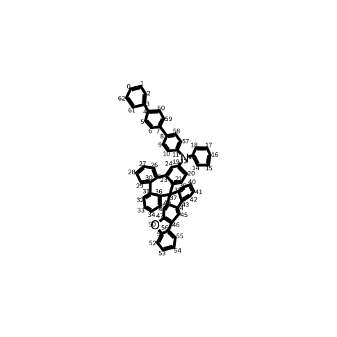 c1ccc(-c2ccc(-c3ccc(N(c4ccccc4)c4ccc5c(c4)-c4ccccc4-c4ccccc4C54c5ccccc5-c5cc6c(cc54)oc4ccccc46)cc3)cc2)cc1